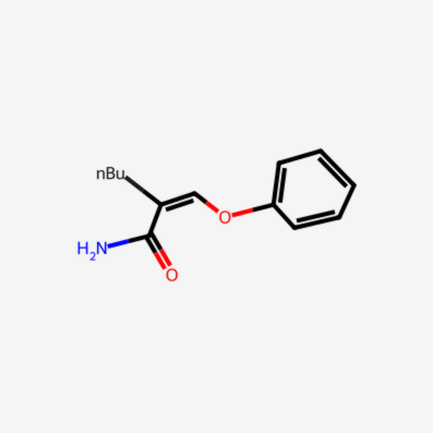 CCCCC(=COc1ccccc1)C(N)=O